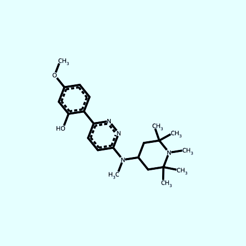 COc1ccc(-c2ccc(N(C)C3CC(C)(C)N(C)C(C)(C)C3)nn2)c(O)c1